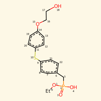 CCOP(=O)(O)Cc1ccc(Sc2ccc(OCCO)cc2)cc1